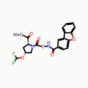 COC(=O)[C@@H]1C[C@@H](OC(F)F)CN1C(=O)CNC(=O)c1ccc2oc3ccccc3c2c1